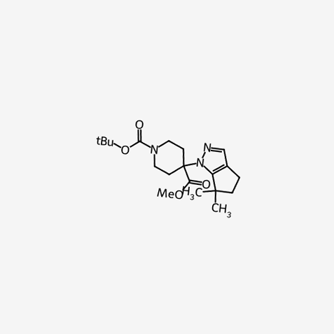 COC(=O)C1(n2ncc3c2C(C)(C)CC3)CCN(C(=O)OC(C)(C)C)CC1